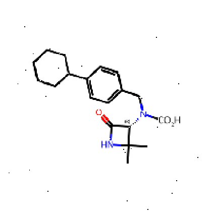 CC1(C)NC(=O)[C@@H]1N(Cc1ccc(C2CCCCC2)cc1)C(=O)O